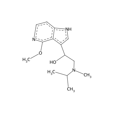 COc1nccc2[nH]cc(C(O)CN(C)C(C)C)c12